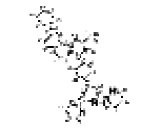 C1=C(c2ccc(-c3c4ccccc4nc4c3ccc3ccc(-c5ccccc5)nc34)cc2)C=C(c2ccccn2)NC1c1ccccn1